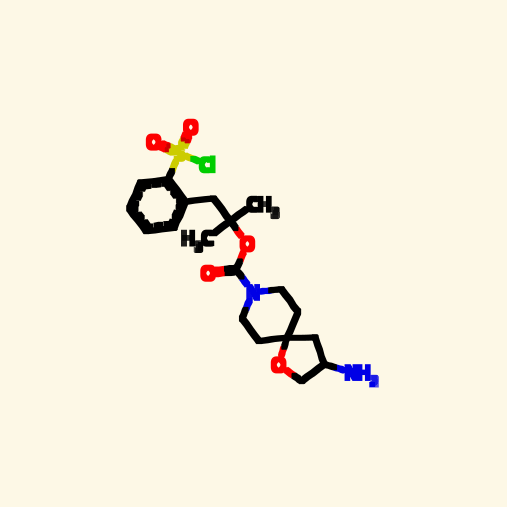 CC(C)(Cc1ccccc1S(=O)(=O)Cl)OC(=O)N1CCC2(CC1)CC(N)CO2